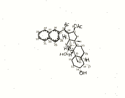 CC(=O)O[C@H]1C[C@@]2(C)[C@@H](C[C@@H](O)[C@H]3[C@@]4(C)CC[C@@H](O)[C@@H](C)[C@@H]4CC[C@@]32CN)/C1=C(/C(C)=O)c1ccc2ccccc2c1